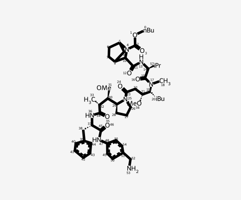 CCCCOC(=O)N1C2CCC(C2)C1C(=O)N[C@H](C(=O)N(C)[C@@H]([C@@H](C)CC)[C@@H](CC(=O)N1CCC[C@H]1[C@H](OC)[C@@H](C)C(=O)N[C@@H](Cc1ccccc1)C(=O)Nc1ccc(CN)cc1)OC)C(C)C